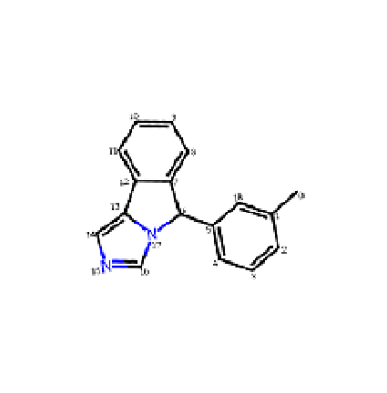 Cc1cccc(C2c3ccccc3-c3cncn32)c1